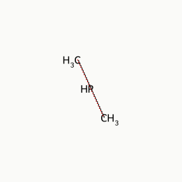 CCCCCCCCCCCCCCCCCCCCCCC=CPC=CCCCCCCCCCCCCCCCCCCCCCC